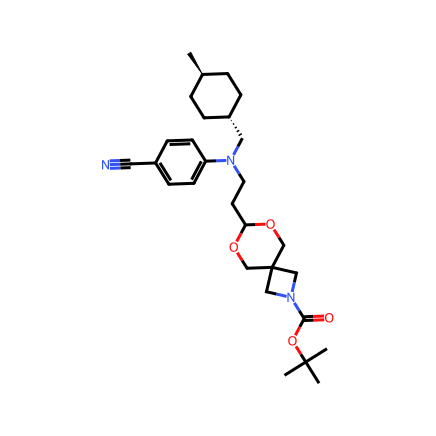 CC(C)(C)OC(=O)N1CC2(COC(CCN(C[C@H]3CC[C@H](C)CC3)c3ccc(C#N)cc3)OC2)C1